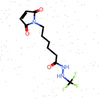 O=C(CCCCCN1C(=O)C=CC1=O)NNC(F)(F)F